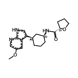 COc1cnc2[nH]cc([C@@H]3CCC[C@H](NC(=O)[C@@H]4CCCO4)C3)c2c1